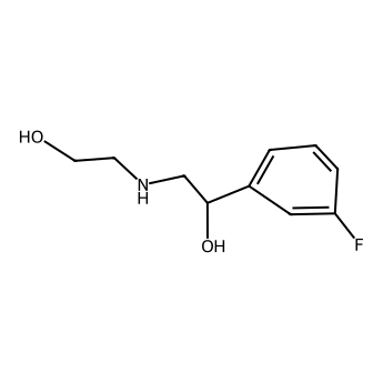 OCCNCC(O)c1cccc(F)c1